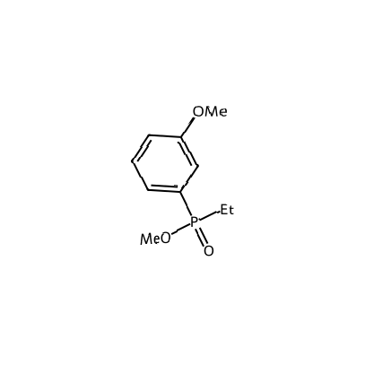 CCP(=O)(OC)c1cccc(OC)c1